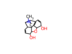 CN1CC[C@]23C4=C5C=C[C@H](O)C4OC2[C@@H](O)C=CC3C1C5